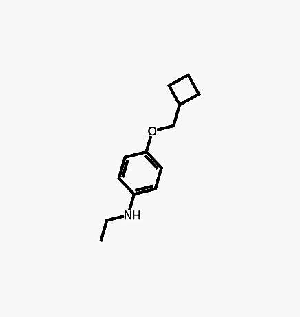 CCNc1ccc(OCC2CCC2)cc1